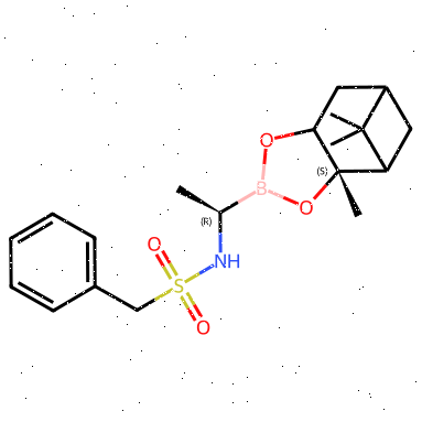 C[C@H](NS(=O)(=O)Cc1ccccc1)B1OC2CC3CC(C3(C)C)[C@]2(C)O1